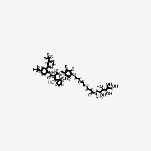 CN(CC(O)[C@@H](O)[C@H](O)C(O)CO)C(=O)CCOCCOCCOc1ccc(CN2C(=O)C(C(=O)Nc3ccc(C(F)(F)F)cc3-c3cc(C(F)(F)F)ncn3)=C(O)C3(CCCC3)N2C)c(F)c1F